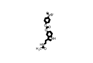 CC(=O)NCCc1c[nH]c2ccc(OC(=O)Oc3ccc([N+](=O)[O-])cc3)cc12